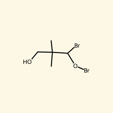 CC(C)(CO)C(Br)OBr